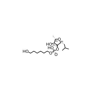 CC(C)C[C@H]1O[C@@H](C)[C@H](O)[C@@H]1OP(=O)(O)OCCCCCCO